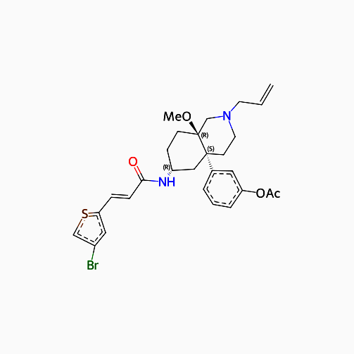 C=CCN1CC[C@@]2(c3cccc(OC(C)=O)c3)C[C@H](NC(=O)C=Cc3cc(Br)cs3)CC[C@]2(OC)C1